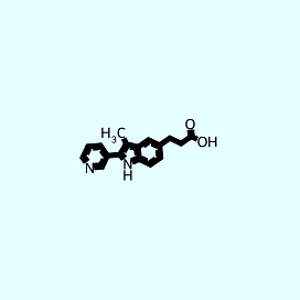 Cc1c(-c2cccnc2)[nH]c2ccc(CCC(=O)O)cc12